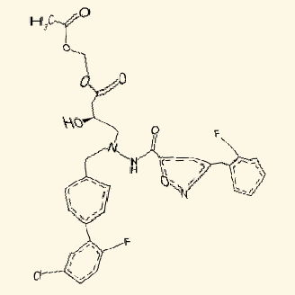 CC(=O)OCOC(=O)[C@H](O)CN(Cc1ccc(-c2cc(Cl)ccc2F)cc1)NC(=O)c1cc(-c2ccccc2F)no1